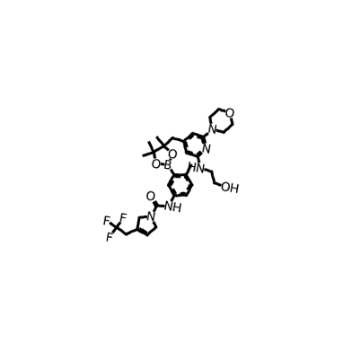 Cc1ccc(NC(=O)N2CC=C(CC(F)(F)F)C2)cc1B1OC(C)(C)C(C)(Cc2cc(NCCO)nc(N3CCOCC3)c2)O1